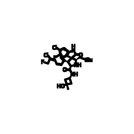 C=C(/C=C\C=C(\Cl)CF)[C@H]1[C@H](C(=O)N[C@H]2C[C@@](C)(O)C2)N[C@@H](CC(C)(C)C)[C@@]12C(=O)Nc1cc(Cl)c(F)cc12